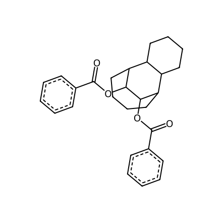 O=C(OC1C2CCCCC(C3CCCCC32)C1OC(=O)c1ccccc1)c1ccccc1